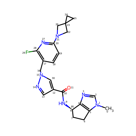 Cn1cnc2c1CC[C@H]2NC(=O)c1cnn(Cc2ccc(N3CC4(CC4)C3)nc2F)c1